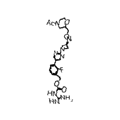 CC(=O)N1CCOC(CON=C2CN(c3ncc(-c4cccc(COC(=O)NC(=N)N)c4F)cn3)C2)C1